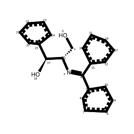 OC[C@H](N=C(c1ccccc1)c1ccccc1)[C@@H](O)c1ccccc1